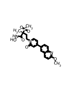 COc1ccc2cc(-c3ccn(CC[C@](C)(C(=O)NO)S(C)(=O)=O)c(=O)c3)ccc2n1